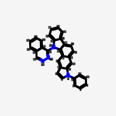 c1ccc(-n2ccc3cc4c(ccc5c6ccccc6n(-c6nncc7ccccc67)c45)cc32)cc1